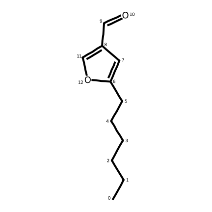 CCCCCCc1cc(C=O)co1